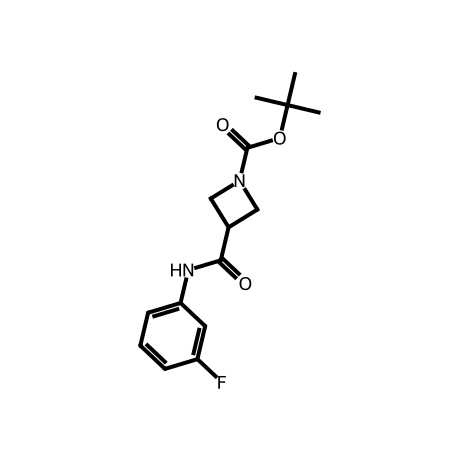 CC(C)(C)OC(=O)N1CC(C(=O)Nc2cccc(F)c2)C1